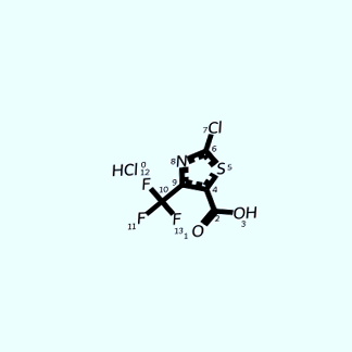 Cl.O=C(O)c1sc(Cl)nc1C(F)(F)F